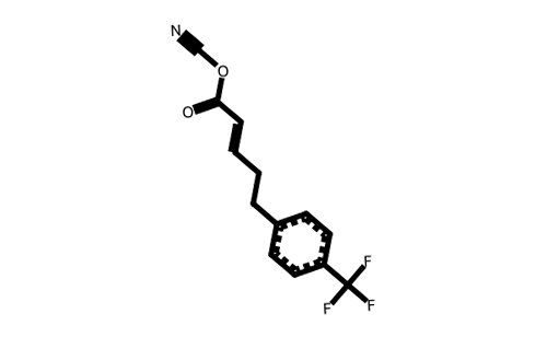 N#COC(=O)C=CCCc1ccc(C(F)(F)F)cc1